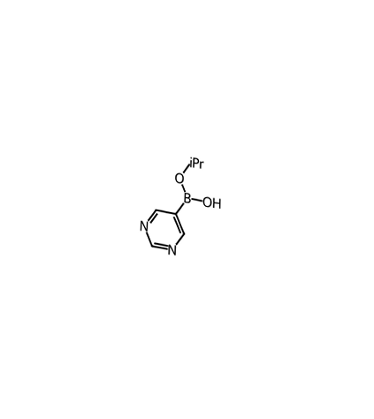 CC(C)OB(O)c1cncnc1